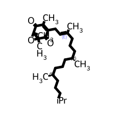 CC1=C(C/C=C(\C)CCC[C@H](C)CCC[C@H](C)CCCC(C)C)C(=O)C2(C)OC2(C)C1=O